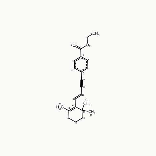 CCOC(=O)c1ccc(C#CC=CC2=C(C)CCCC2(C)C)cc1